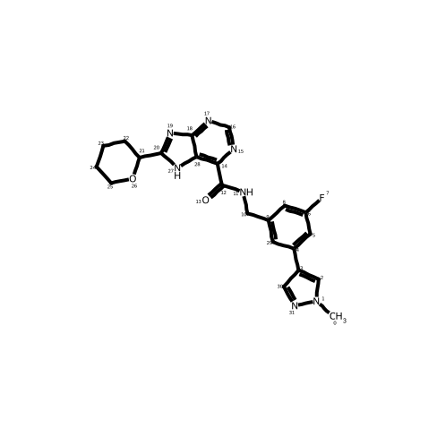 Cn1cc(-c2cc(F)cc(CNC(=O)c3ncnc4nc(C5CCCCO5)[nH]c34)c2)cn1